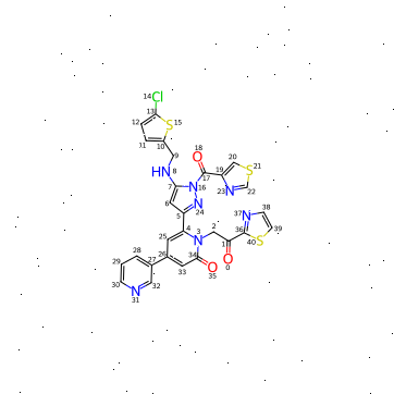 O=C(Cn1c(-c2cc(NCc3ccc(Cl)s3)n(C(=O)c3cscn3)n2)cc(-c2cccnc2)cc1=O)c1nccs1